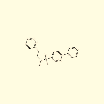 CC(CCc1ccccc1)S(C)(C)c1ccc(-c2ccccc2)cc1